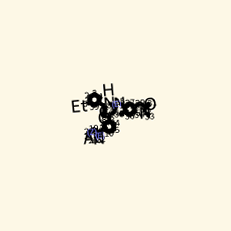 CCc1cccc(C(=C=O)N/C(CCc2cccc(C(/C=C\C(C)=O)=N/C)c2)=N/c2cc(CC(=O)N(C)C)ccc2C)c1